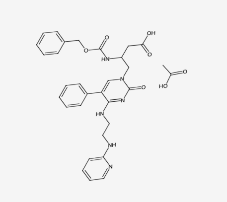 CC(=O)O.O=C(O)CC(Cn1cc(-c2ccccc2)c(NCCNc2ccccn2)nc1=O)NC(=O)OCc1ccccc1